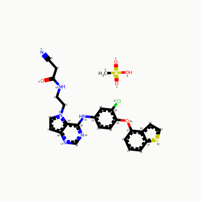 CS(=O)(=O)O.N#CCC(=O)NCCn1ccc2ncnc(Nc3ccc(Oc4cccc5sccc45)c(Cl)c3)c21